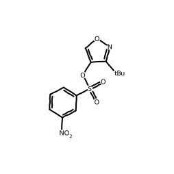 CC(C)(C)c1nocc1OS(=O)(=O)c1cccc([N+](=O)[O-])c1